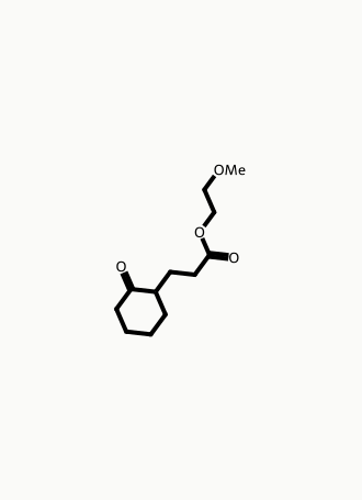 COCCOC(=O)CCC1CCCCC1=O